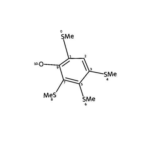 CSc1cc(SC)c(SC)c(SC)c1[O]